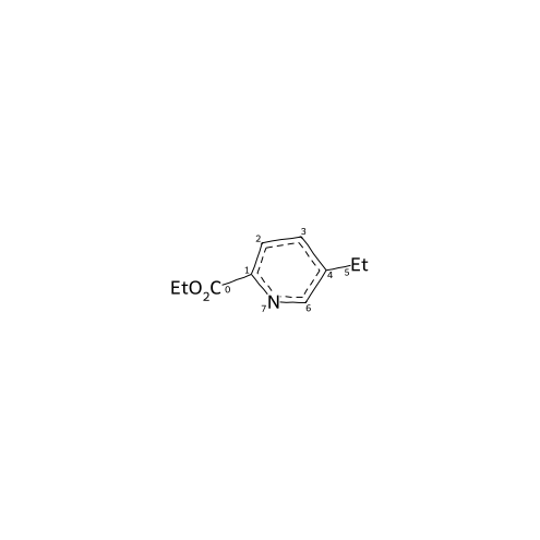 CCOC(=O)c1ccc(CC)cn1